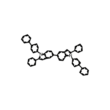 c1ccc(-c2ccc(-n3c(-c4ccccc4)cc4cc(-c5ccc6c(c5)cc(-c5ccccc5)n6-c5ccc(-c6ccccc6)cc5)ccc43)cc2)cc1